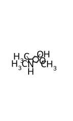 COc1cc2[nH]c(C)c(C)c2cc1O